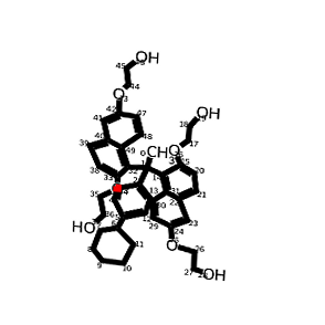 CC(c1ccc(C2CCCCC2)cc1)(c1c(OCCO)ccc2cc(OCCO)ccc12)c1c(OCCO)ccc2cc(OCCO)ccc12